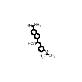 CC(C)Oc1cccc(/C=C(\Cl)c2ccc3cc(C(=N)N)ccc3c2)c1.Cl